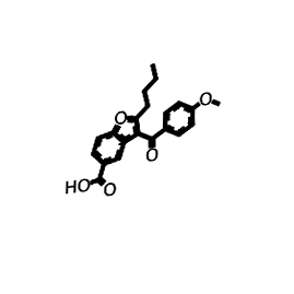 CCCCc1oc2ccc(C(=O)O)cc2c1C(=O)c1ccc(OC)cc1